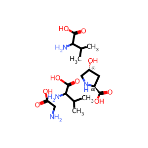 CC(C)C(N)C(=O)O.CC(C)C(N)C(=O)O.NCC(=O)O.O=C(O)[C@@H]1C[C@@H](O)CN1